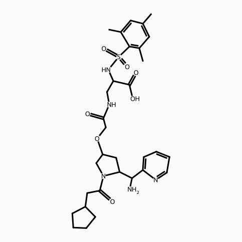 Cc1cc(C)c(S(=O)(=O)NC(CNC(=O)COC2CC(C(N)c3ccccn3)N(C(=O)CC3CCCC3)C2)C(=O)O)c(C)c1